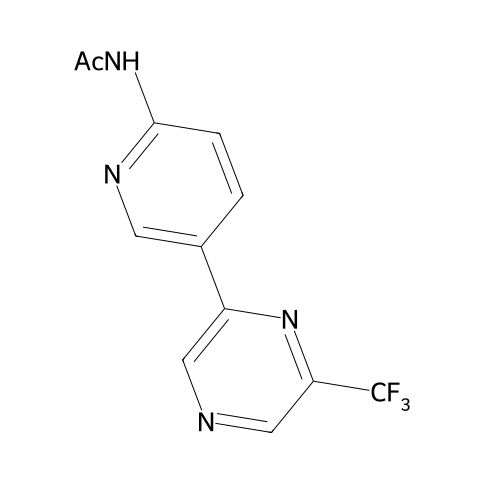 CC(=O)Nc1ccc(-c2cncc(C(F)(F)F)n2)cn1